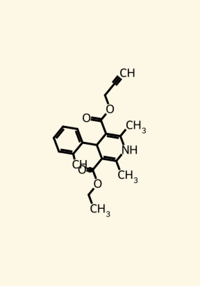 C#CCOC(=O)C1=C(C)NC(C)=C(C(=O)OCC)C1c1ccccc1C